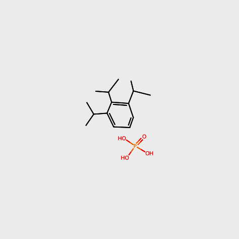 CC(C)c1cccc(C(C)C)c1C(C)C.O=P(O)(O)O